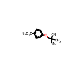 CCCCC(C)(C#N)COc1ccc(C(=O)OCC)cc1